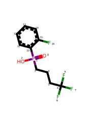 O=P(O)(CCCC(F)(F)F)c1ccccc1F